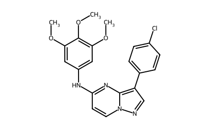 COc1cc(Nc2ccn3ncc(-c4ccc(Cl)cc4)c3n2)cc(OC)c1OC